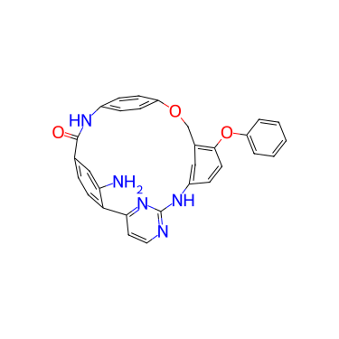 Nc1cc2ccc1-c1ccnc(n1)Nc1ccc(Oc3ccccc3)c(c1)COc1ccc(cc1)NC2=O